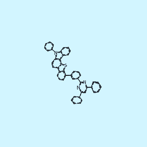 c1ccc(-c2cc(-c3ccccc3)nc(-c3cccc(-c4cccc5c4sc4c5ccc5c4c4ccccc4n5-c4ccccc4)c3)n2)cc1